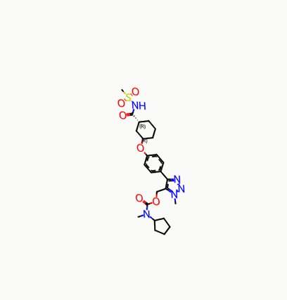 CN(C(=O)OCc1c(-c2ccc(O[C@@H]3CCC[C@@H](C(=O)NS(C)(=O)=O)C3)cc2)nnn1C)C1CCCC1